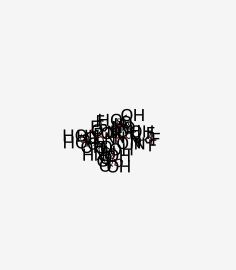 CC(=O)NC1CC(C(=O)NCCNC(=O)C2CC(n3cc(-c4cc(F)c(F)c(F)c4)nn3)C(O)[C@H](O[C@@H]3OC(CO)[C@H](O)C(n4cc(-c5cc(F)c(F)c(F)c5)nn4)C3O)C2)C[C@@H](O[C@@H]2OC(CO)[C@H](O)C(O[C@@H](CC3CCCCC3)C(=O)O)C2NC(C)=O)C1O[C@@H]1OC(C)[C@@H](O)C(O)C1O